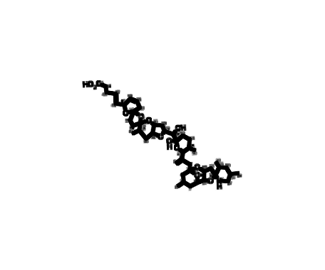 C=C(CC12CC(C)CC(O1)C1OC3(CC1O2)NCC(C)CC3C)C1OC(O)(C(O)C2CC3OC4(CCC5(CC=CC(C=CCCC(=O)O)O5)O4)C(C)CC3O2)CCC1C